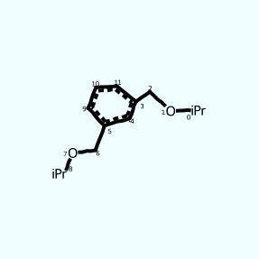 CC(C)OCc1[c]c(COC(C)C)ccc1